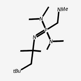 CNCP(=NC(C)(C)CC(C)(C)C)(N(C)C)N(C)C